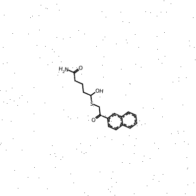 NC(=O)CCCC(O)SCC(=O)c1ccc2ccccc2c1